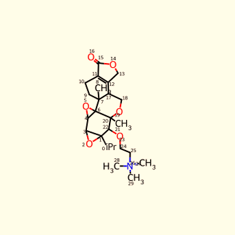 CC(C)C12OC1C1OC13C1(C)CCC4=C(COC4=O)C1COC3(C)C2OCC[N+](C)(C)C